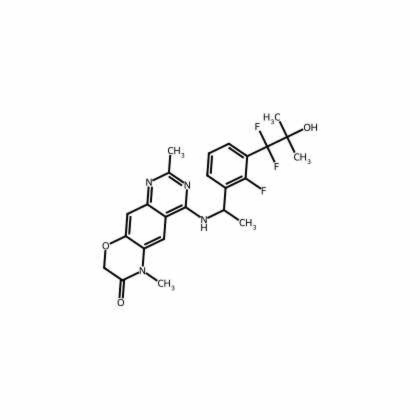 Cc1nc(NC(C)c2cccc(C(F)(F)C(C)(C)O)c2F)c2cc3c(cc2n1)OCC(=O)N3C